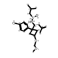 COCOC1CC(c2ccc(Cl)cc2)([C@@H](CC(C)C)N[S+]([O-])CC(C)C)C1